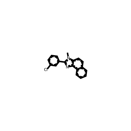 Cn1c(-c2cccc(Cl)c2)nc2c3ccccc3ccc21